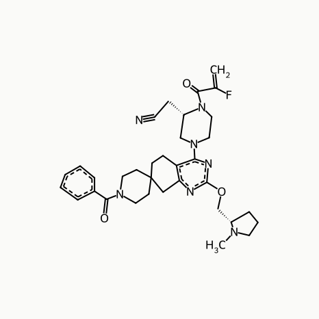 C=C(F)C(=O)N1CCN(c2nc(OC[C@@H]3CCCN3C)nc3c2CCC2(CCN(C(=O)c4ccccc4)CC2)C3)C[C@@H]1CC#N